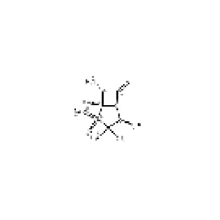 CC1(C)[C@H](C(=O)[O-])N2C(=O)[C@@H](N)[C@H]2S1(=O)=O.[Na+]